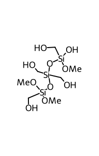 CO[Si](O)(CO)O[Si](CO)(CO)O[Si](CO)(OC)OC